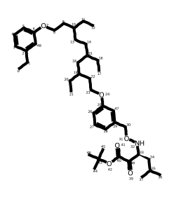 CCc1cccc(OCCC(CC)CCC(CC)CC(CC)CCOc2cccc(CON[C@@H](CC(C)C)C(=O)C(=O)OC(C)(C)C)c2)c1